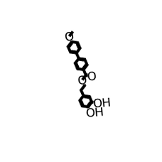 COc1ccc(-c2ccc(C(=O)OCCc3ccc(O)c(O)c3)cc2)cc1